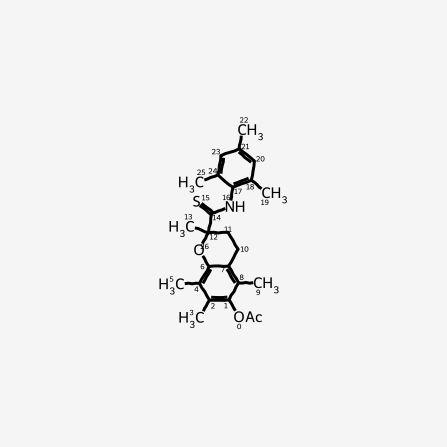 CC(=O)Oc1c(C)c(C)c2c(c1C)CCC(C)(C(=S)Nc1c(C)cc(C)cc1C)O2